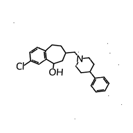 OC1CC(CN2CCC(c3ccccc3)CC2)CCc2ccc(Cl)cc21